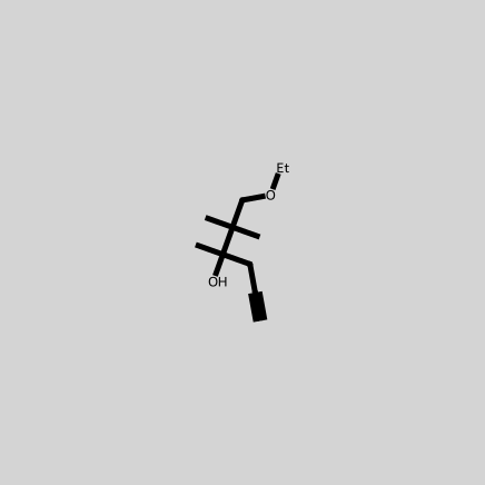 C#CCC(C)(O)C(C)(C)COCC